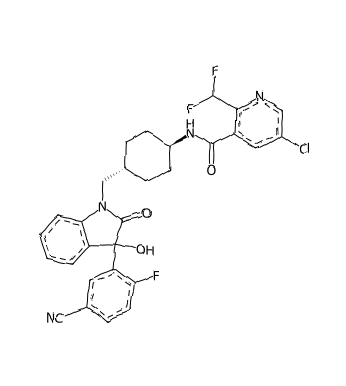 N#Cc1ccc(F)c(C2(O)C(=O)N(C[C@H]3CC[C@H](NC(=O)c4cc(Cl)cnc4C(F)F)CC3)c3ccccc32)c1